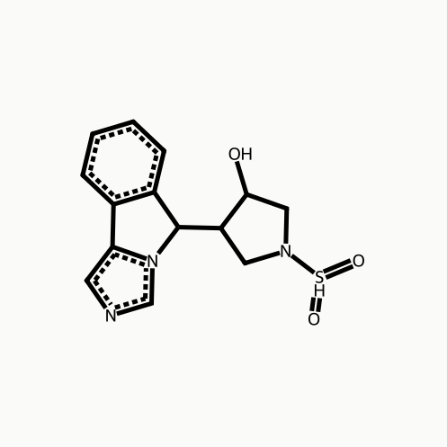 O=[SH](=O)N1CC(O)C(C2c3ccccc3-c3cncn32)C1